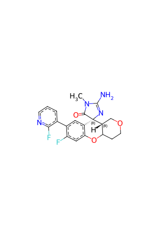 CN1C(=O)[C@]2(N=C1N)c1cc(-c3cccnc3F)c(F)cc1OC1CCOC[C@H]12